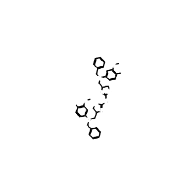 COc1cc(N(Cc2ccccc2)CC2COC(NC3=NC(CN(Cc4ccccc4)c4ccc(F)c(OC)c4)CO3)=N2)ccc1F